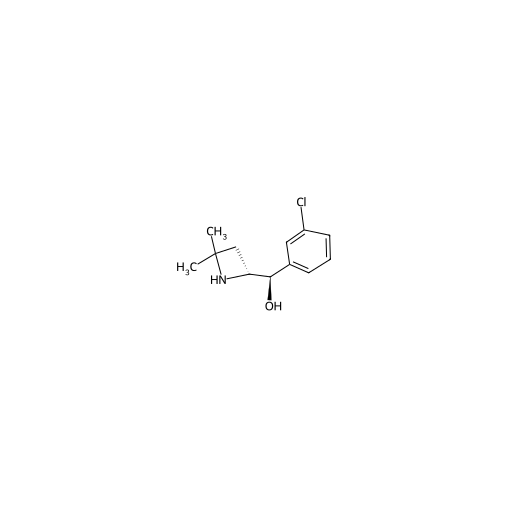 CC1(C)C[C@H]([C@H](O)c2cccc(Cl)c2)N1